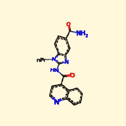 CCCn1c(NC(=O)c2ccnc3ccccc23)nc2cc(C(N)=O)ccc21